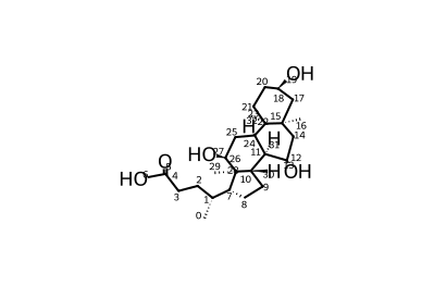 C[C@H](CCC(=O)O)[C@H]1CC[C@H]2[C@@H]3[C@H](O)C[C@]4(C)C[C@H](O)CC[C@]4(C)[C@H]3C[C@H](O)[C@]12C